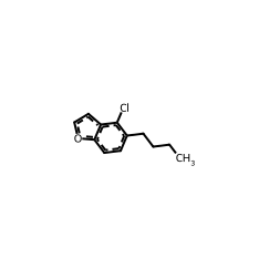 CCCCc1ccc2occc2c1Cl